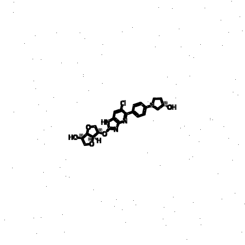 O[C@H]1CCN(c2ccc(-c3nc4nc(O[C@@H]5COC6[C@H](O)CO[C@@H]65)[nH]c4cc3Cl)cc2)C1